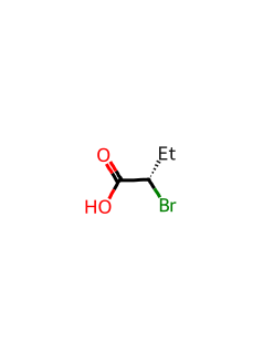 CC[C@H](Br)C(=O)O